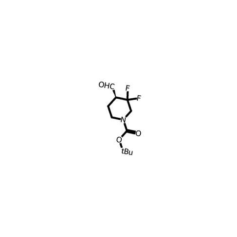 CC(C)(C)OC(=O)N1CC[C@@H](C=O)C(F)(F)C1